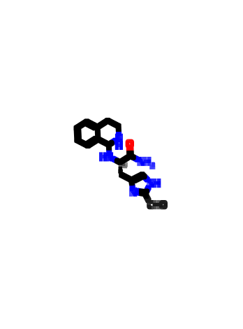 NC(=O)[C@H](Cc1c[nH]c(C=O)n1)NC1NCCc2ccccc21